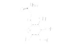 CCC1OC(OCC(=O)C(C)(C)C)C(C)C(O)C1O